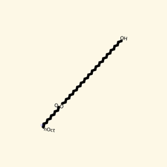 CCCCCCCC/C=C\CCCCCCCC(=O)OCCCCCCCCCCCCCCCCCCCCCCCCCCCCCCCCO